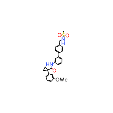 COc1cccc(C2(C(=O)Nc3cccc(-c4ccc(CNS(C)(=O)=O)cc4)c3)CC2)c1